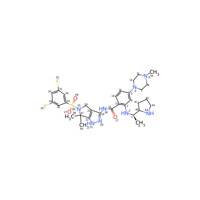 C[C@@H](Nc1cc(N2CCN(C)CC2)ccc1C(=O)Nc1n[nH]c2c1CN(S(=O)(=O)c1cc(F)cc(F)c1)C2(C)C)C1CCCN1